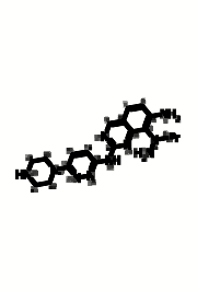 CC(C)N(N)c1c(N)ccc2cnc(Nc3ccc(N4CCNCC4)nn3)nc12